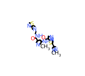 Cc1ncc(C(=O)NCCN2Cc3ncsc3C2)cc1NC(=O)c1cnn2cc(-c3cnn(C)c3)sc12